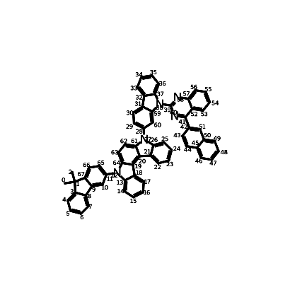 CC1(C)c2ccccc2-c2cc(-n3c4ccccc4c4c5c6ccccc6n(-c6ccc7c8ccccc8n(-c8nc(-c9ccc%10ccccc%10c9)c9ccccc9n8)c7c6)c5ccc43)ccc21